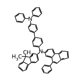 CC1(C)c2ccccc2-c2ccc(N(c3ccc(-c4ccc(N(c5ccccc5)c5ccccc5)cc4)cc3)c3ccc4c(c3)c(-c3ccccc3)cc3ccccc34)cc21